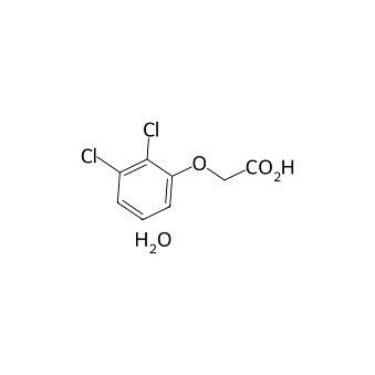 O.O=C(O)COc1cccc(Cl)c1Cl